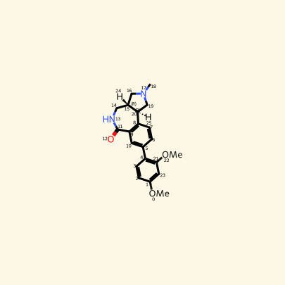 COc1ccc(-c2ccc3c(c2)C(=O)NC[C@@H]2CN(C)C[C@@H]32)c(OC)c1